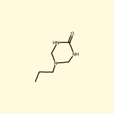 CCCN1CNC(=O)NC1